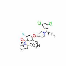 C[C@@H](c1cc(Cl)cc(Cl)c1)N1CCC(COc2cc(F)c(C(=O)N3[C@@H](C(=O)O)CC4CCC[C@H]43)cc2C2CC2)CC1